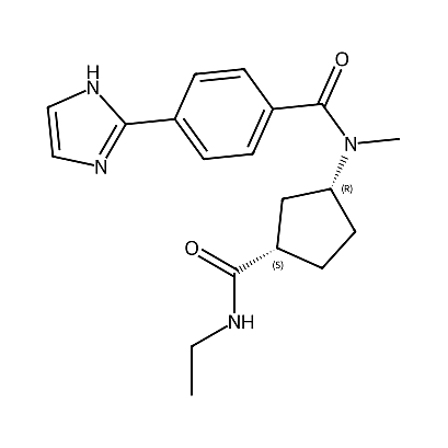 CCNC(=O)[C@H]1CC[C@@H](N(C)C(=O)c2ccc(-c3ncc[nH]3)cc2)C1